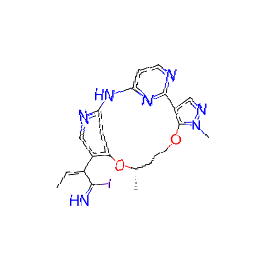 C/C=C(\C(=N)I)c1cnc2cc1O[C@@H](C)CCOc1c(cnn1C)-c1nccc(n1)N2